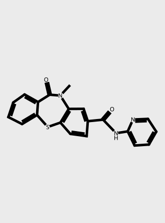 CN1C(=O)c2ccccc2Sc2ccc(C(=O)Nc3ccccn3)cc21